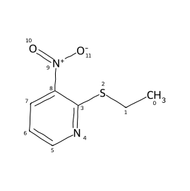 CCSc1ncccc1[N+](=O)[O-]